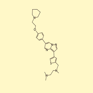 CN(C)CCN(C)Cc1cc(-c2cnn3cc(-c4ccc(OCCN5CCCCC5)cc4)cnc23)cs1